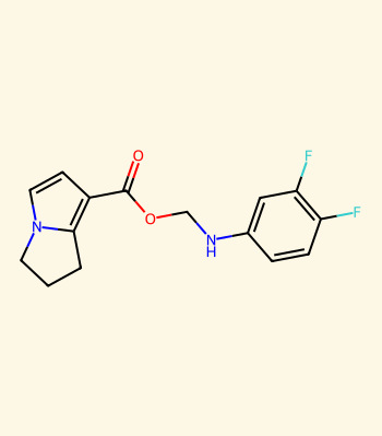 O=C(OCNc1ccc(F)c(F)c1)c1ccn2c1CCC2